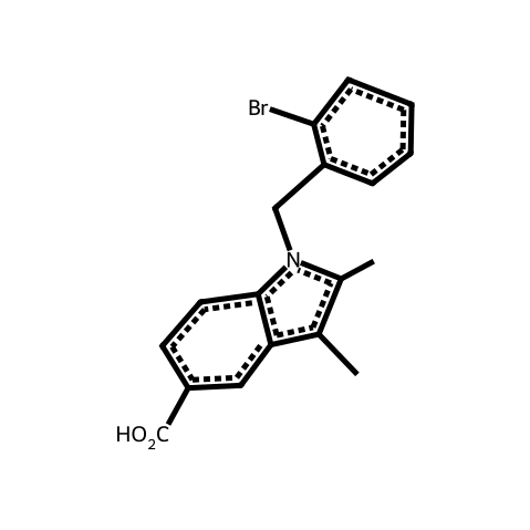 Cc1c(C)n(Cc2ccccc2Br)c2ccc(C(=O)O)cc12